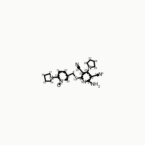 N#Cc1c(N)nc(SCc2ccc(N3CCCC3)[n+]([O-])c2)c(C#N)c1N1CCCC1